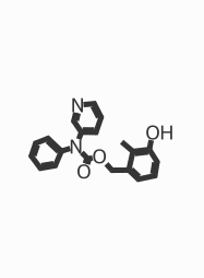 Cc1c(O)cccc1COC(=O)N(c1ccccc1)c1cccnc1